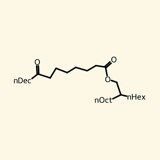 CCCCCCCCCCC(=O)CCCCCCC(=O)OCC(CCCCCC)CCCCCCCC